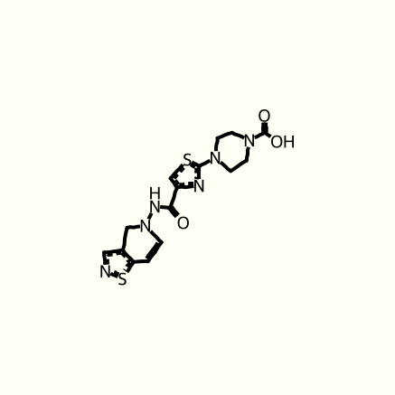 O=C(NN1C=Cc2sncc2C1)c1csc(N2CCN(C(=O)O)CC2)n1